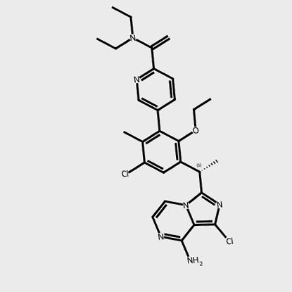 C=C(c1ccc(-c2c(C)c(Cl)cc([C@H](C)c3nc(Cl)c4c(N)nccn34)c2OCC)cn1)N(CC)CC